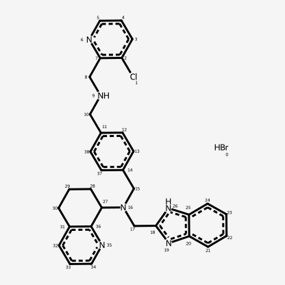 Br.Clc1cccnc1CNCc1ccc(CN(Cc2nc3ccccc3[nH]2)C2CCCc3cccnc32)cc1